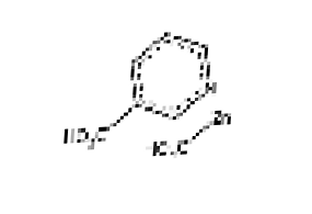 O=C(O)c1cccnc1.O=[C](O)[Zn]